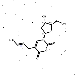 N/C=C/Cc1cn([C@H]2C[C@H](O)[C@@H](CO)O2)c(=O)[nH]c1=O